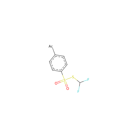 CC(=O)c1ccc(S(=O)(=O)SC(F)F)cc1